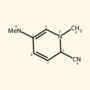 CNC1=CN(C)C(C#N)C=C1